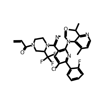 C=CC(=O)N1CCN(/C(=N/C)c2cc(Cl)c(-c3ccccc3F)nc2N(C=O)c2c(C)ccnc2C(C)C)C(C(F)(F)F)C1